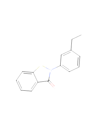 CCc1cccc(-n2sc3ccccc3c2=O)c1